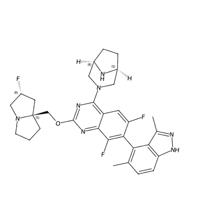 Cc1ccc2[nH]nc(C)c2c1-c1c(F)cc2c(N3C[C@H]4CC[C@@H](C3)N4)nc(OC[C@@]34CCCN3C[C@H](F)C4)nc2c1F